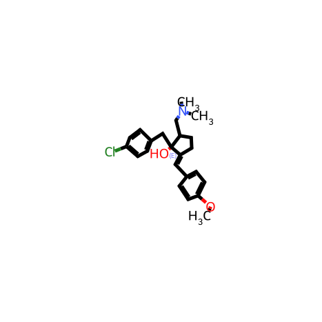 COc1ccc(/C=C2\CCC(CN(C)C)C2(O)Cc2ccc(Cl)cc2)cc1